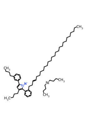 CCCCCCCCCCCCCCCCCCCCCCC=CCCc1ccccc1C1=C(CCCC)C=C(c2cccc(CCCC)c2)[N+]1=[N-].CCC[CH2][Ni][CH2]CCC